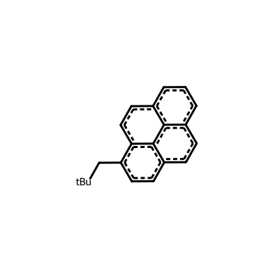 CC(C)(C)Cc1ccc2ccc3cccc4ccc1c2c34